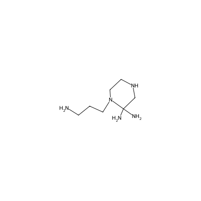 NCCCN1CCNCC1(N)N